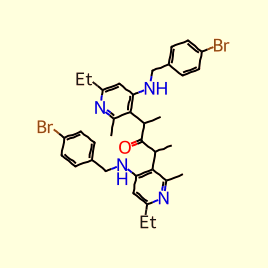 CCc1cc(NCc2ccc(Br)cc2)c(C(C)C(=O)C(C)c2c(NCc3ccc(Br)cc3)cc(CC)nc2C)c(C)n1